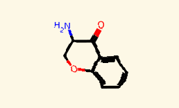 NC1COc2ccccc2C1=O